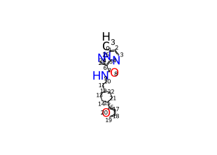 Cc1ccnc2c(C(=O)NCCC3CCC(c4ccco4)CC3)cnn12